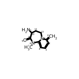 C=C1C=CC=C2N(C)C(=O)C(N)CCN12